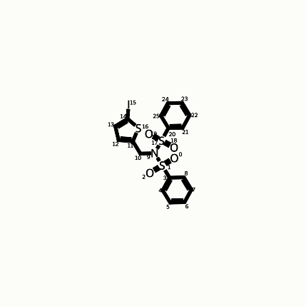 O=S(=O)(c1ccccc1)N(Cc1ccc(I)s1)S(=O)(=O)c1ccccc1